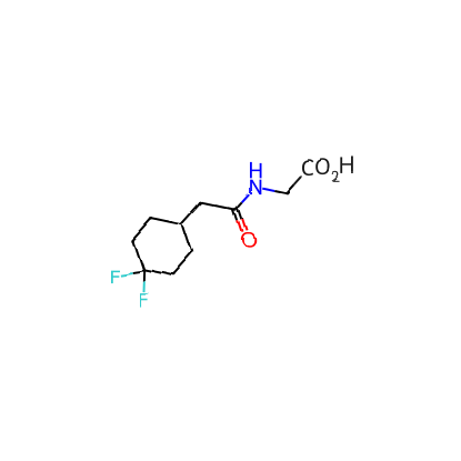 O=C(O)CNC(=O)CC1CCC(F)(F)CC1